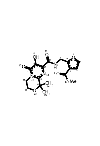 CNC(=O)c1ccoc1CNC(=O)c1nc2n(c(=O)c1O)CCOC2(C)C